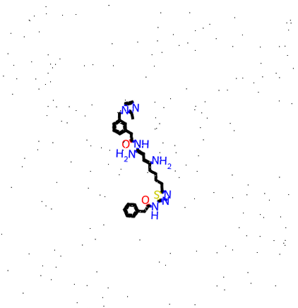 Cc1nccn1Cc1cccc(CC(=O)N/C(N)=C/C=C(\N)CCCCc2nnc(NC(=O)Cc3ccccc3)s2)c1